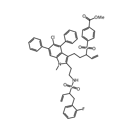 C=CC(Cc1ccccc1F)S(=O)(=O)NCCc1c(CCC(C=C)S(=O)(=O)c2ccc(C(=O)OC)cc2)c2c(-c3ccccc3)c(Cl)c(-c3ccccc3)cc2n1C